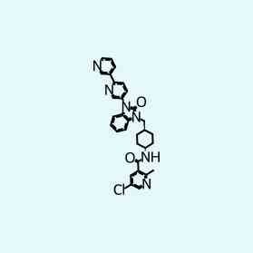 Cc1ncc(Cl)cc1C(=O)N[C@H]1CC[C@H](Cn2c(=O)n(-c3ccc(-c4cccnc4)nc3)c3ccccc32)CC1